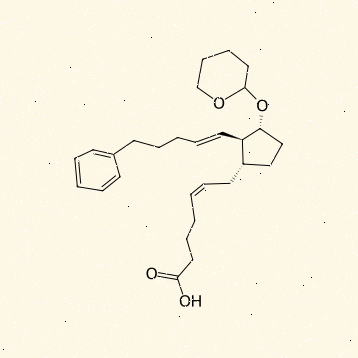 O=C(O)CCC/C=C\C[C@H]1CC[C@@H](OC2CCCCO2)[C@@H]1/C=C/CCCc1ccccc1